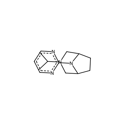 CC(C)N1CC2CCC(C1)N2c1ncccn1